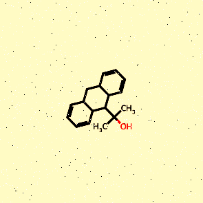 CC(C)(O)C1C2C=CC=CC2CC2C=CC=CC21